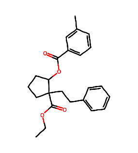 CCOC(=O)C1(CCc2ccccc2)CCCC1OC(=O)c1cccc(C)c1